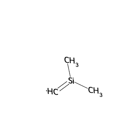 [CH]=[Si](C)C